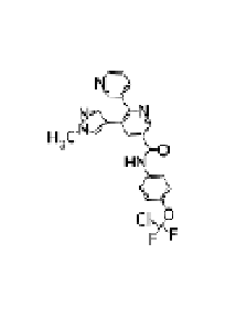 Cn1cc(-c2cc(C(=O)Nc3ccc(OC(F)(F)Cl)cc3)cnc2-c2cccnc2)cn1